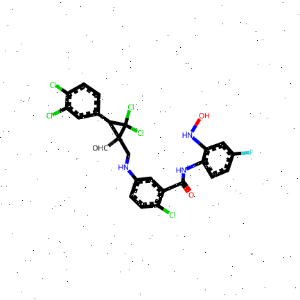 O=CC1(CNc2ccc(Cl)c(C(=O)Nc3ccc(F)cc3NO)c2)C(c2ccc(Cl)c(Cl)c2)C1(Cl)Cl